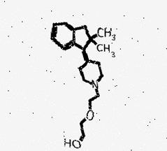 CC1(C)Cc2ccccc2C1=C1CCN(CCOCCO)CC1